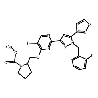 CC(C)(C)OC(=O)N1CCCC1COc1nc(-c2cc(-c3ccon3)n(Cc3ccccc3F)n2)ncc1F